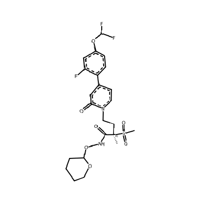 C[C@@](CCn1ccc(-c2ccc(OC(F)F)cc2F)cc1=O)(C(=O)NOC1CCCCO1)S(C)(=O)=O